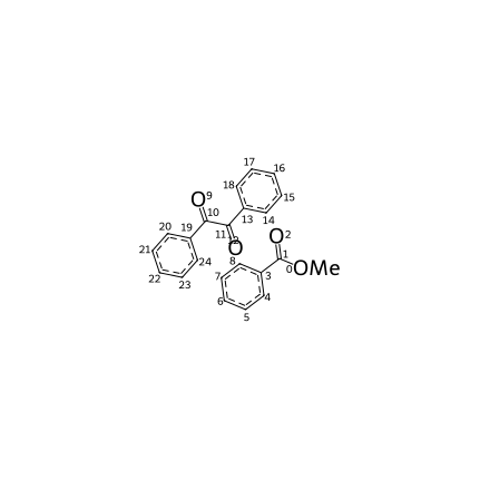 COC(=O)c1ccccc1.O=C(C(=O)c1ccccc1)c1ccccc1